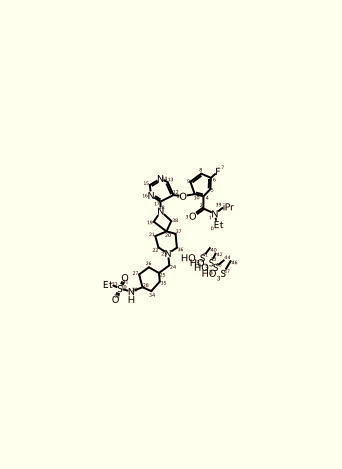 CCN(C(=O)c1cc(F)ccc1Oc1cncnc1N1CC2(CCN(CC3CCC(NS(=O)(=O)CC)CC3)CC2)C1)C(C)C.CS(=O)(=O)O.CS(=O)(=O)O.CS(=O)(=O)O.CS(=O)(=O)O